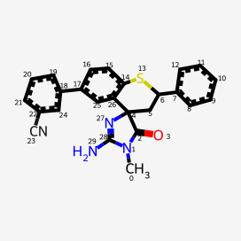 CN1C(=O)C2(CC(c3ccccc3)Sc3ccc(-c4cccc(C#N)c4)cc32)N=C1N